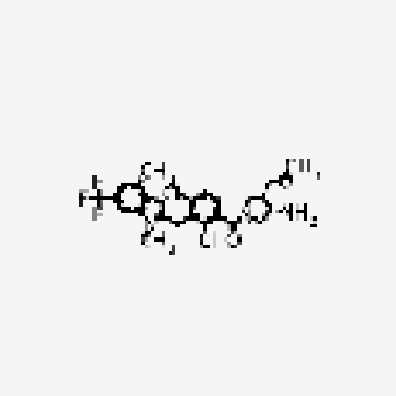 COC[C@@H]1CN(C(=O)c2ccc(Cl)c(Cc3cc4c(C)cc(C(F)(F)F)cc4n3C)c2Cl)C[C@H]1N